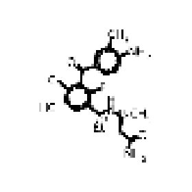 CC[C@@H](N[C@H](C)CC(N)=O)c1ccc(Cl)c(C(=O)c2ccc(N)c(C)c2)c1F.Cl